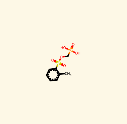 Cc1ccccc1S(=O)(=O)OCP(=O)(O)O